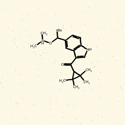 C[SiH](C)OC(c1ccc2[nH]cc(C(=O)C3C(C)(C)C3(C)C)c2c1)C(C)(C)C